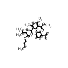 COCCOC(=O)[C@@H](NC(=O)C1=C(C)NC(C)=C(C(=O)OC)[C@H]1c1cccc([N+](=O)[O-])c1)C(C)C